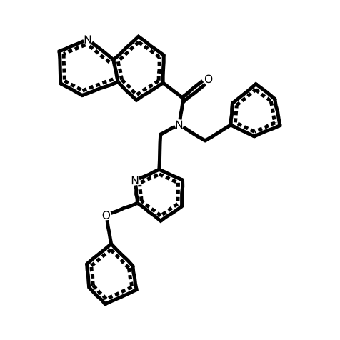 O=C(c1ccc2ncccc2c1)N(Cc1ccccc1)Cc1cccc(Oc2ccccc2)n1